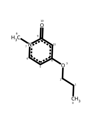 CCCOc1ccn(C)c(=O)c1